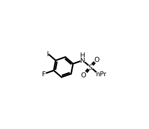 CCCS(=O)(=O)Nc1ccc(F)c(I)c1